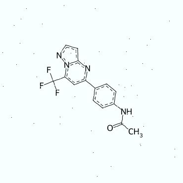 CC(=O)Nc1ccc(-c2cc(C(F)(F)F)n3nccc3n2)cc1